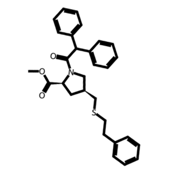 COC(=O)[C@@H]1C[C@H](CSCCc2ccccc2)CN1C(=O)C(c1ccccc1)c1ccccc1